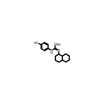 CSC(=NC1CCCC2CCCCC21)Nc1ccc(C#N)cc1